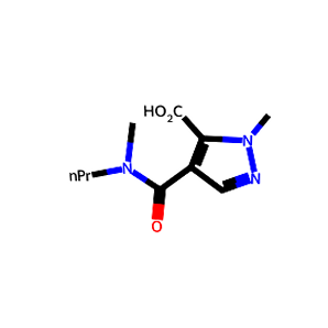 CCCN(C)C(=O)c1cnn(C)c1C(=O)O